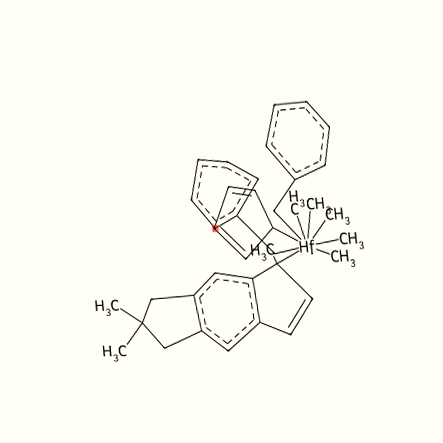 CC1(C)Cc2cc3c(cc2C1)[C](C)([Hf]([CH3])([CH3])([CH3])([CH3])([CH3])([CH2]c1ccccc1)([CH2]c1ccccc1)[CH]1C=CC=C1)C=C3